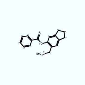 CCOC(=O)Cc1cc2c(cc1OC(=O)c1ccccc1)CCC2